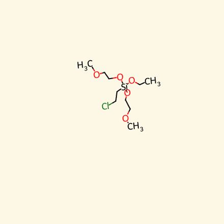 CCO[Si](CCCl)(OCCOC)OCCOC